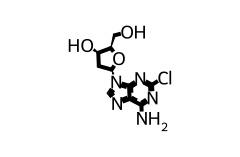 Nc1nc(Cl)nc2c1ncn2[C@@H]1C[C@@H](O)[C@@H](CO)O1